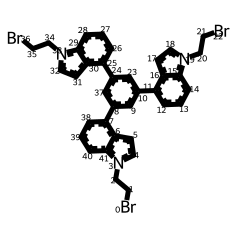 BrCCn1ccc2c(-c3cc(-c4cccc5c4ccn5CCBr)cc(-c4cccc5c4ccn5CCBr)c3)cccc21